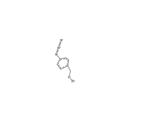 CCOCc1ccc(N=[N+]=[N-])cc1